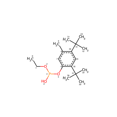 CCOP(O)Oc1cc(C)c(C(C)(C)C)cc1C(C)(C)C